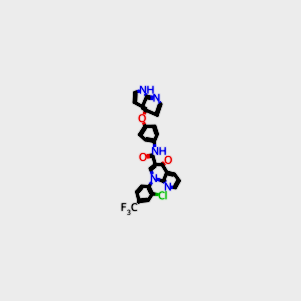 O=C(Nc1ccc(Oc2ccnc3[nH]ccc23)cc1)c1cn(-c2ccc(C(F)(F)F)cc2Cl)c2ncccc2c1=O